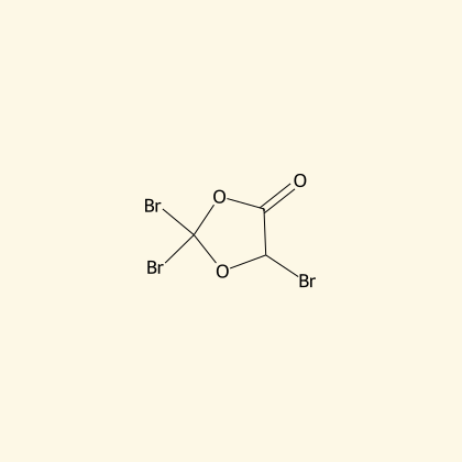 O=C1OC(Br)(Br)OC1Br